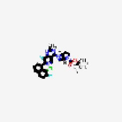 Cc1nc(N2C[C@@H]3[C@H]2CCN3C(=O)OC(C)(C)C)c2cnc(-c3cccc4ccc(F)c(Cl)c34)c(F)c2n1